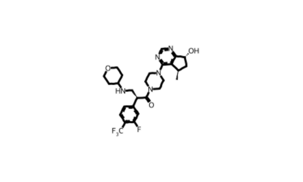 C[C@@H]1C[C@@H](O)c2ncnc(N3CCN(C(=O)[C@H](CNC4CCOCC4)c4ccc(C(F)(F)F)c(F)c4)CC3)c21